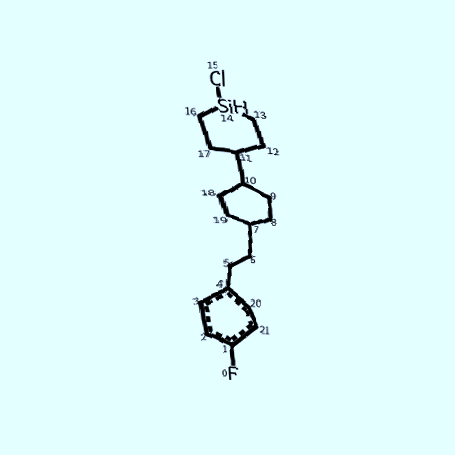 Fc1ccc(CCC2CCC(C3CC[SiH](Cl)CC3)CC2)cc1